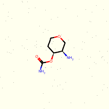 NC(=O)O[C@H]1CCOC[C@H]1N